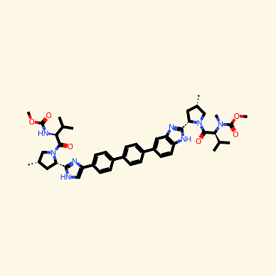 COC(=O)N[C@H](C(=O)N1C[C@@H](C)C[C@H]1c1nc(-c2ccc(-c3ccc(-c4ccc5[nH]c([C@@H]6C[C@H](C)CN6C(=O)[C@H](C(C)C)N(C)C(=O)OC)nc5c4)cc3)cc2)c[nH]1)C(C)C